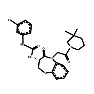 CC1(C)CCCN(C(=O)CN2C(=O)[C@@H](NC(=O)Nc3cccc(Cl)c3)CSc3ccccc32)C1